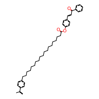 C=C(C)c1ccc(CCCCCCCCCCCCCCCCCCC(=O)Oc2ccc(C=CC(=O)c3ccccc3)cc2)cc1